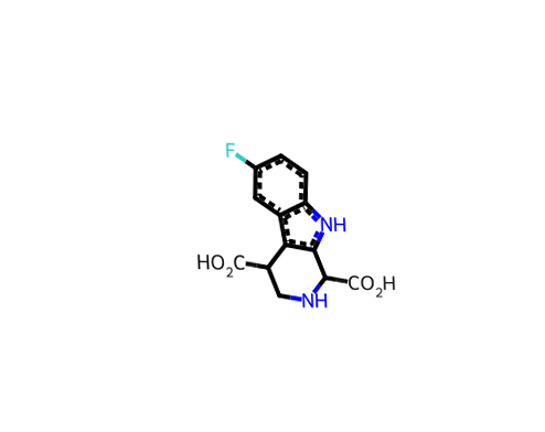 O=C(O)C1CNC(C(=O)O)c2[nH]c3ccc(F)cc3c21